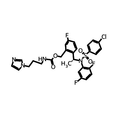 C[C@H](c1ccc(F)cc1COC(=O)NCCCn1ccnc1)N(c1cc(F)ccc1F)S(=O)(=O)c1ccc(Cl)cc1